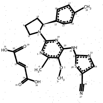 COc1c(C)nc(N2CCC[C@H]2c2ccc(C)cc2)nc1Nc1ncc(C#N)s1.O=C(O)C=CC(=O)O